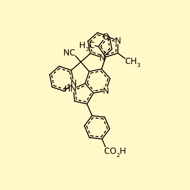 Cc1noc(C)c1-c1cnc2c(-c3ccc(C(=O)O)cc3)c[nH]c2c1C(C#N)(c1ccccn1)c1ccccn1